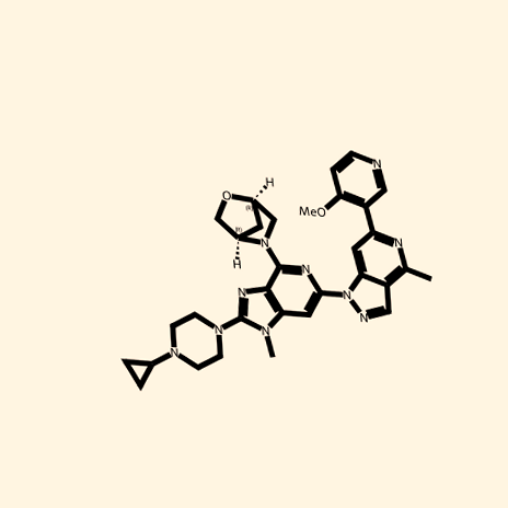 COc1ccncc1-c1cc2c(cnn2-c2cc3c(nc(N4CCN(C5CC5)CC4)n3C)c(N3C[C@H]4C[C@@H]3CO4)n2)c(C)n1